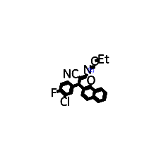 CCO/C=N/C1=C(C#N)C(c2ccc(F)c(Cl)c2)c2ccc3ccccc3c2O1